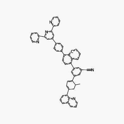 CC1CC(c2cccc3cccnc23)=CC=C1c1cc(C#N)cc(-c2ccc(-c3ccc(-c4cc(-c5ccccn5)nc(-c5ccccn5)c4)cc3)c3ccccc23)c1